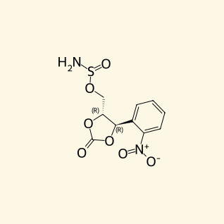 NS(=O)OC[C@H]1OC(=O)O[C@@H]1c1ccccc1[N+](=O)[O-]